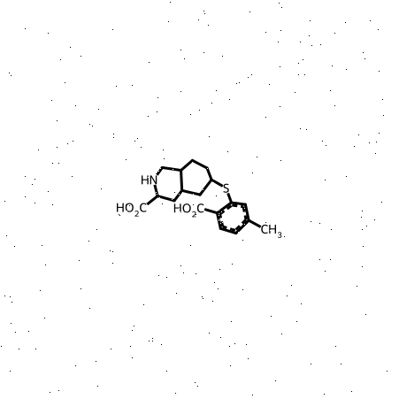 Cc1ccc(C(=O)O)c(SC2CCC3CNC(C(=O)O)CC3C2)c1